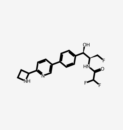 O=C(N[C@H](CF)[C@H](O)c1ccc(-c2ccc(C3CCN3)nc2)cc1)C(F)F